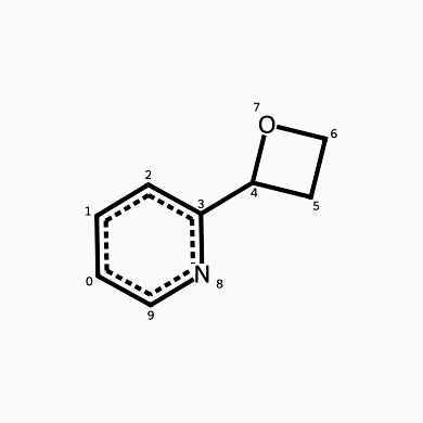 c1ccc(C2CCO2)nc1